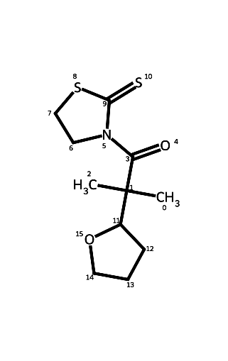 CC(C)(C(=O)N1CCSC1=S)C1CCCO1